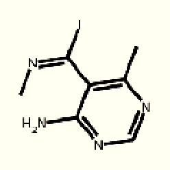 C/N=C(/I)c1c(C)ncnc1N